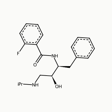 CC(C)NC[C@H](O)[C@H](Cc1ccccc1)NC(=O)c1ccccc1F